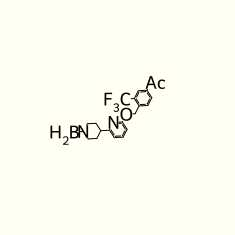 BN1CCC(c2cccc(OCc3ccc(C(C)=O)cc3C(F)(F)F)n2)CC1